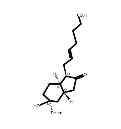 CCCCCCC[C@]1(O)CC[C@@H]2[C@H](CC(=O)[C@@H]2CC=CCCCC(=O)O)C1